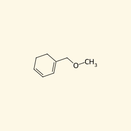 COCC1=CC=CCC1